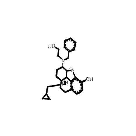 OCCN(Cc1ccccc1)[C@H]1CC[C@]2(O)C3Cc4ccc(O)c5c4[C@]2(CCN3CC2CC2)[C@@H]1O5